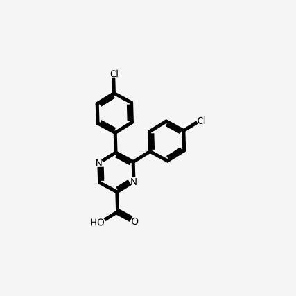 O=C(O)c1cnc(-c2ccc(Cl)cc2)c(-c2ccc(Cl)cc2)n1